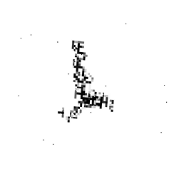 COCOCC(CO)(CCc1ccc2sc3cc(Oc4cccc(C(F)(F)F)c4)ccc3c(=O)c2c1)NOC(C)(C)C